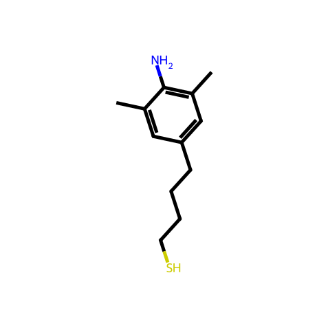 Cc1cc(CCCCS)cc(C)c1N